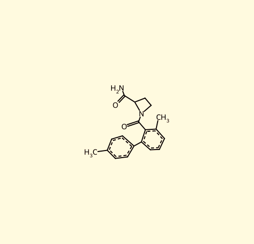 Cc1ccc(-c2cccc(C)c2C(=O)N2CCC2C(N)=O)cc1